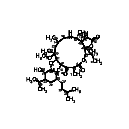 CC[C@H]1OC(=O)C(C)C(=O)[C@H](C)[C@@H](O[C@@H]2O[C@H](CCC(C)C)CC(N(C)C)[C@H]2O)[C@](C)(OC)C[C@@H](C)CN[C@H](C)[C@H]2NC(=O)O[C@@]21C